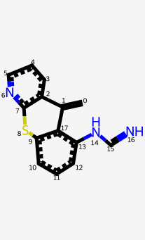 C=C1c2cccnc2Sc2cccc(NC=N)c21